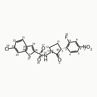 O=C1[C@@H](c2ccc([N+](=O)[O-])cc2F)CCN1NS(=O)(=O)c1cc2ccc(Cl)cc2s1